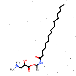 CCC(NC(=O)CCCCCCCCCCCCCCC(C)C)OC(=O)C(O)CN(C)C